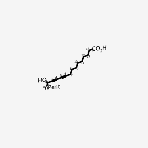 CCCCCC(O)C#CC#CCCCCCCCCC(=O)O